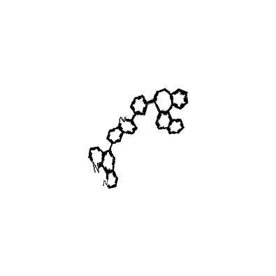 C1=C(c2cccc(-c3ccc4cc(-c5cc6cccnc6c6ncccc56)ccc4n3)c2)c2ccc3ccccc3c2-c2ccccc2C1